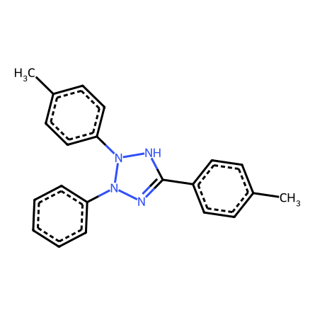 Cc1ccc(C2=NN(c3ccccc3)N(c3ccc(C)cc3)N2)cc1